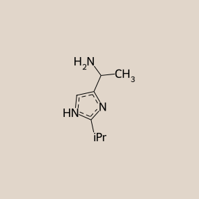 CC(C)c1nc(C(C)N)c[nH]1